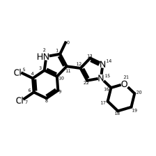 Cc1[nH]c2c(Cl)c(Cl)ccc2c1-c1cnn(C2CCCCO2)c1